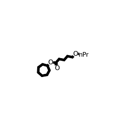 CCCOCCCCC(=O)OC1CCCCCC1